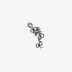 CC(C)C(=O)OCCOC(=O)C(F)(F)C(F)(F)C(F)(F)OC(=O)C12CC3CC(CC1C3)C2